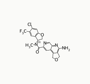 CN(C(=O)c1cc2c3c(c(N)nc2cn1)COC3)[C@@H]1COc2cc(Cl)c(C(F)(F)F)cc21